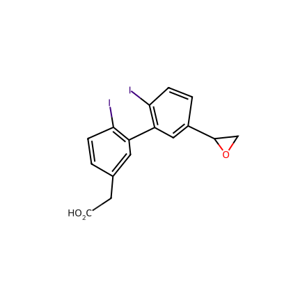 O=C(O)Cc1ccc(I)c(-c2cc(C3CO3)ccc2I)c1